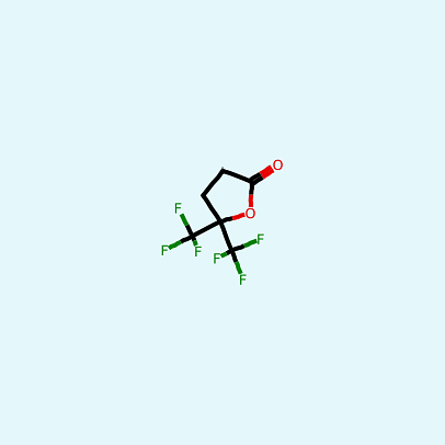 O=C1[CH]CC(C(F)(F)F)(C(F)(F)F)O1